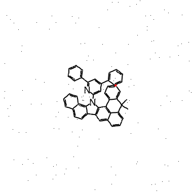 CC1(C)c2ccccc2-c2c3c1cccc3cc1c3ccc4ccccc4c3n(-c3cc(-c4ccccc4)cc(-c4ccccc4)n3)c21